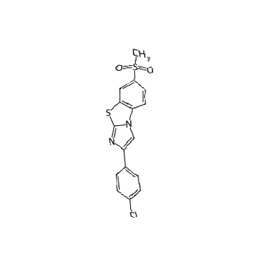 CS(=O)(=O)c1ccc2c(c1)sc1nc(-c3ccc(Cl)cc3)cn12